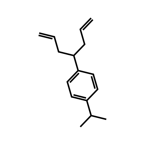 C=CCC(CC=C)c1ccc(C(C)C)cc1